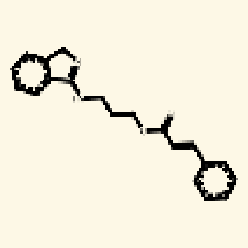 O=C(/C=C/c1ccccc1)OCCCNC1=NCc2ccccc21